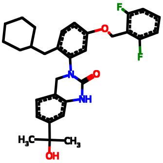 CC(C)(O)c1ccc2c(c1)NC(=O)N(c1cc(OCc3c(F)cccc3F)ccc1CC1CCCCC1)C2